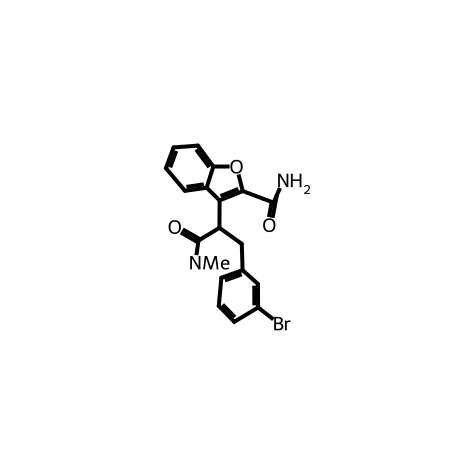 CNC(=O)C(Cc1cccc(Br)c1)c1c(C(N)=O)oc2ccccc12